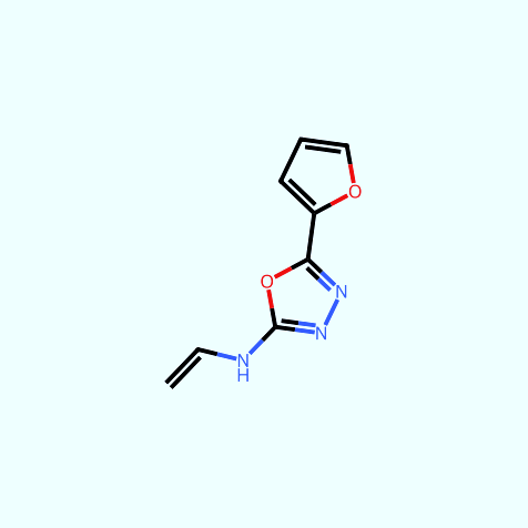 C=CNc1nnc(-c2ccco2)o1